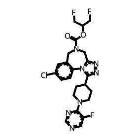 O=C(OC(CF)CF)N1Cc2cc(Cl)ccc2-n2c(nnc2C2CCN(c3ncncc3F)CC2)C1